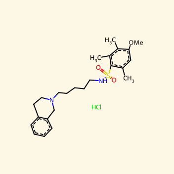 COc1cc(C)c(S(=O)(=O)NCCCCCN2CCc3ccccc3C2)c(C)c1C.Cl